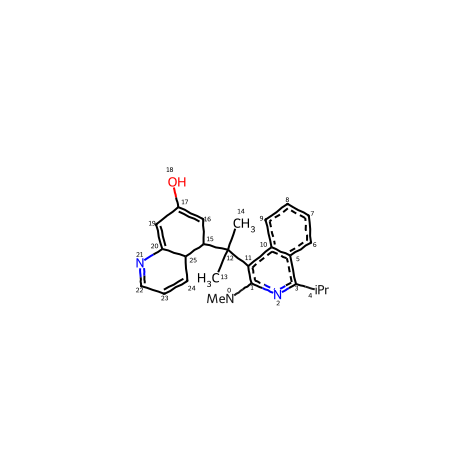 CNc1nc(C(C)C)c2ccccc2c1C(C)(C)C1C=C(O)C=C2N=CC=CC21